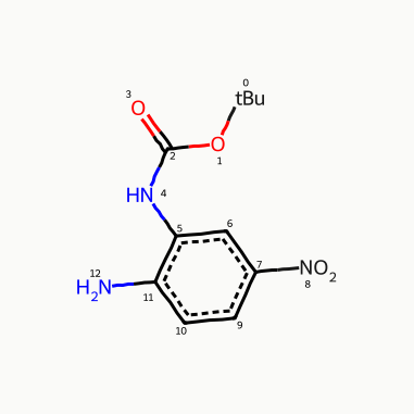 CC(C)(C)OC(=O)Nc1cc([N+](=O)[O-])ccc1N